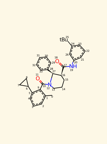 Cc1cccc(C2CC2)c1C(=O)N1CCC[C@H](C(=O)Nc2cccc(C(C)(C)C)c2)[C@@H]1c1ccccc1